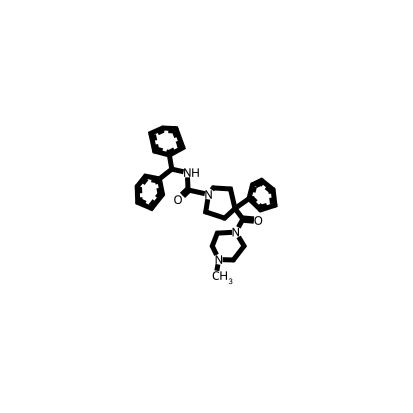 CN1CCN(C(=O)C2(c3ccccc3)CCN(C(=O)NC(c3ccccc3)c3ccccc3)CC2)CC1